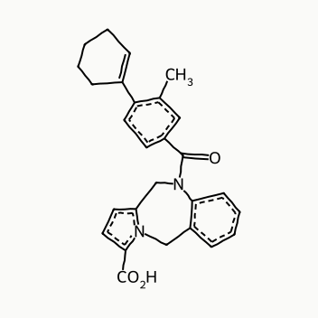 Cc1cc(C(=O)N2Cc3ccc(C(=O)O)n3Cc3ccccc32)ccc1C1=CCCCC1